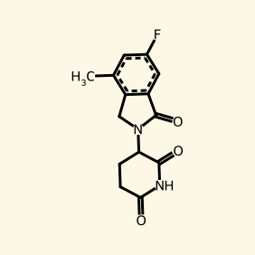 Cc1cc(F)cc2c1CN(C1CCC(=O)NC1=O)C2=O